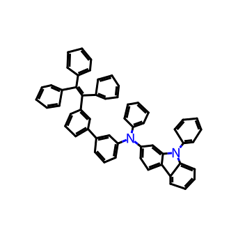 c1ccc(C(=C(c2ccccc2)c2cccc(-c3cccc(N(c4ccccc4)c4ccc5c6ccccc6n(-c6ccccc6)c5c4)c3)c2)c2ccccc2)cc1